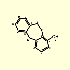 Oc1cccc2c1CCc1ccccc1C2